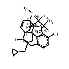 CO[C@]12C=C[C@@]3(C[C@@H]1C(C)(O)C(C)(C)C)[C@H]1Cc4ccc(O)c5c4C3(CCN1CC1CC1)[C@H]2O5